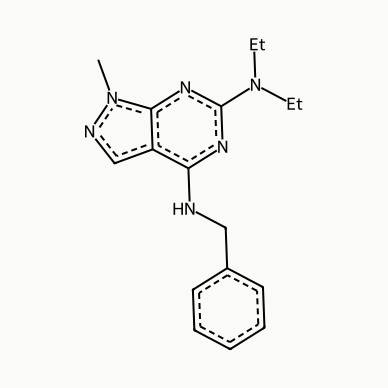 CCN(CC)c1nc(NCc2ccccc2)c2cnn(C)c2n1